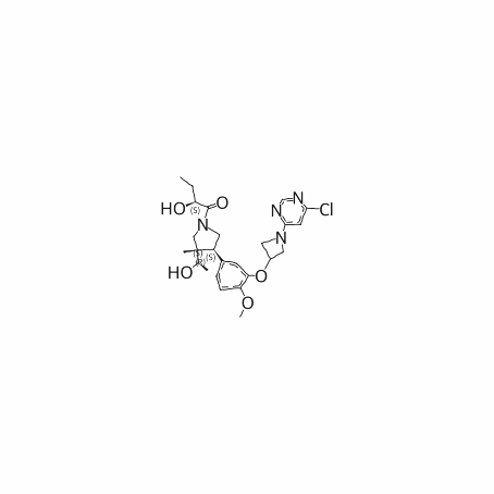 CC[C@H](O)C(=O)N1C[C@@H](c2ccc(OC)c(OC3CN(c4cc(Cl)ncn4)C3)c2)[C@](C)([C@@H](C)O)C1